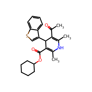 CC(=O)C1=C(C)NC(C)=C(C(=O)OC2CCCCC2)C1c1csc2ccccc12